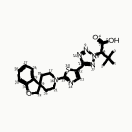 CC(C)(C)C(C(=O)O)n1nnc(-c2cnc(N3CCC4(CC3)COc3ccccc34)s2)n1